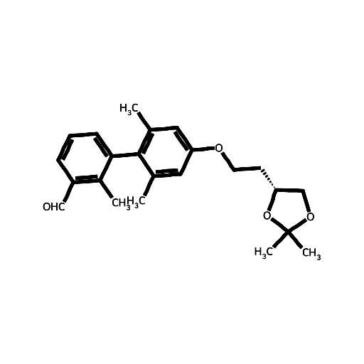 Cc1cc(OCC[C@@H]2COC(C)(C)O2)cc(C)c1-c1cccc(C=O)c1C